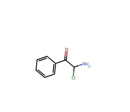 NC(Cl)C(=O)c1ccccc1